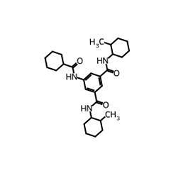 CC1CCCCC1NC(=O)c1cc(NC(=O)C2CCCCC2)cc(C(=O)NC2CCCCC2C)c1